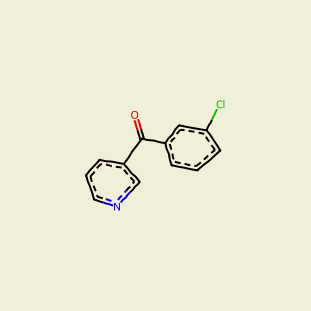 O=C(c1cccnc1)c1cccc(Cl)c1